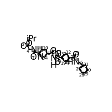 CC(C)OC(=O)CNC(=O)c1ccc(C(=O)NS(=O)(=O)c2ccc(C(=O)NCc3ccccc3)cc2)cn1